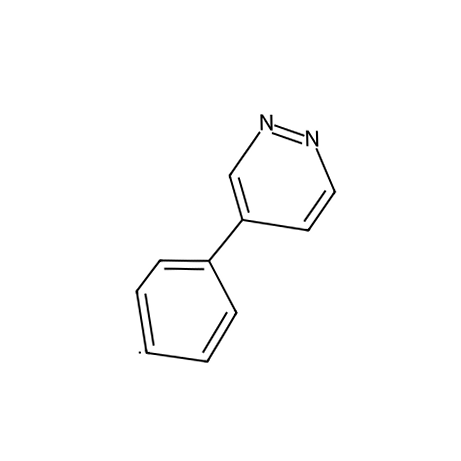 [c]1ccc(-c2ccnnc2)cc1